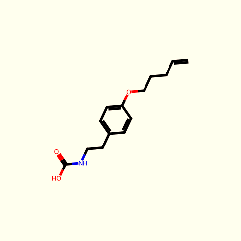 C=CCCCOc1ccc(CCNC(=O)O)cc1